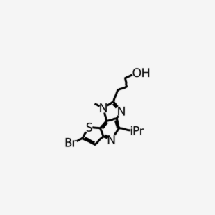 CC(C)c1nc2cc(Br)sc2c2c1nc(CCCO)n2C